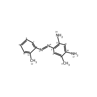 Cc1cc(N=Nc2ccccc2C)c(N)cc1N